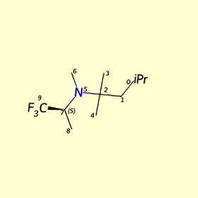 CC(C)CC(C)(C)N(C)[C@@H](C)C(F)(F)F